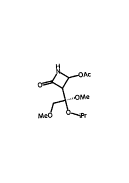 COC[C@](OC)(OC(C)C)C1C(=O)NC1OC(C)=O